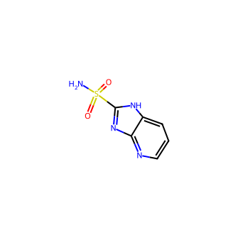 NS(=O)(=O)c1nc2ncccc2[nH]1